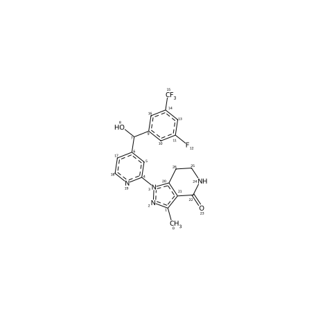 Cc1nn(-c2cc(C(O)c3cc(F)cc(C(F)(F)F)c3)ccn2)c2c1C(=O)NCC2